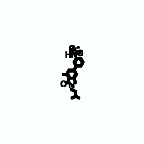 Cc1cc(-c2cccc(NS(C)(=O)=O)c2)cc2c1C(=O)N(CCC(C)C)C2